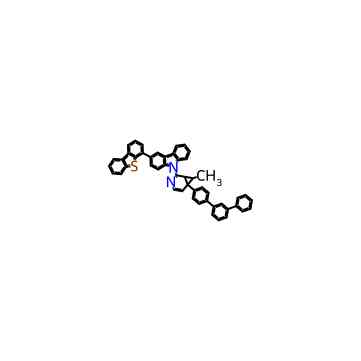 CC1C2C(n3c4ccccc4c4cc(-c5cccc6c5sc5ccccc56)ccc43)=NC=CC12c1ccc(-c2cccc(-c3ccccc3)c2)cc1